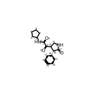 O=C(NC1CCCC1)C(=O)C1CNC(=O)[C@@H]1c1cc#ccc1